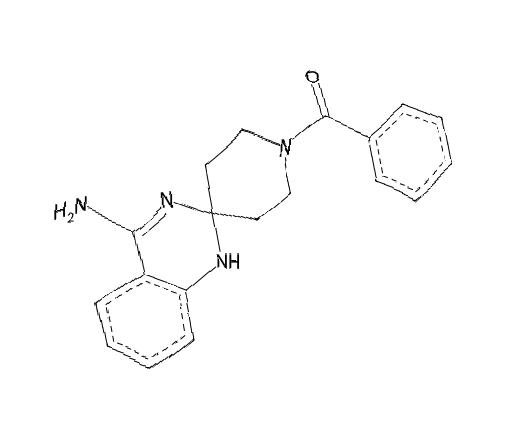 NC1=NC2(CCN(C(=O)c3ccccc3)CC2)Nc2ccccc21